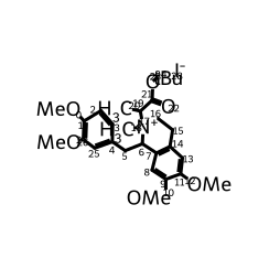 COc1ccc(CC2c3cc(OC)c(OC)cc3CC[N+]2(C)C(C)C(=O)OC(C)(C)C)cc1OC.[I-]